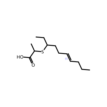 CCC/C=C/CCC(CC)SC(C)C(=O)O